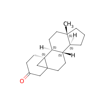 C[C@@]12CCC[C@H]1[C@@H]1CCC34CC(=O)CC[C@]3(C4)[C@H]1CC2